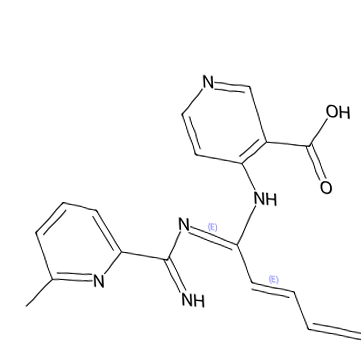 C=C/C=C/C(=N\C(=N)c1cccc(C)n1)Nc1ccncc1C(=O)O